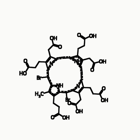 Cc1c(CCC(=O)O)c2[nH]c1c(Br)c1nc(cc3[nH]c(cc4nc(c2Br)C(CC(=O)O)=C4CCC(=O)O)c(CC(=O)O)c3CCC(=O)O)C(CC(=O)O)=C1CCC(=O)O